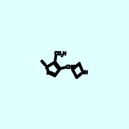 C1CNC1.Cn1ncc(C=O)c1C(=O)O